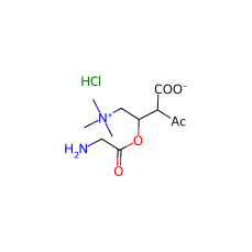 CC(=O)C(C(=O)[O-])C(C[N+](C)(C)C)OC(=O)CN.Cl